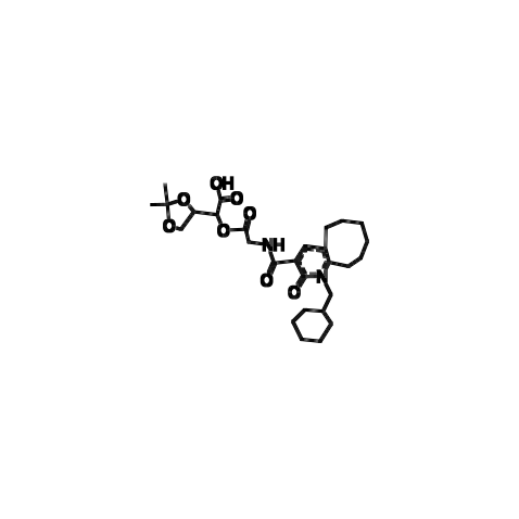 CC1(C)OCC(C(OC(=O)CNC(=O)c2cc3c(n(CC4CCCCC4)c2=O)CCCCCC3)C(=O)O)O1